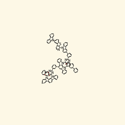 c1ccc(-c2ccc(-c3nc(-c4cccc(-c5ccc6c(c5)c5ccccc5n6-c5nccc6c5sc5ccc(-n7c8ccccc8c8ccccc87)cc56)c4)nc(-n4c5ccccc5c5c(-c6cccc(-c7nc(-c8ccccc8)nc(-n8c9ccccc9c9ccc%10c%11ccccc%11n(-c%11ccccc%11)c%10c98)n7)c6)cc6c7ccccc7n(-c7ccccc7)c6c54)n3)cc2)cc1